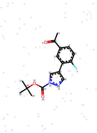 CC(=O)c1ccc(F)c(-c2cnn(C(=O)OC(C)(C)C)c2)c1